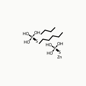 CCCC.CCCCCC.OP(O)(O)=S.OP(O)(O)=S.[Zn]